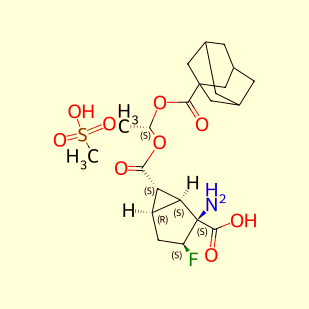 CS(=O)(=O)O.C[C@@H](OC(=O)[C@H]1[C@@H]2C[C@H](F)[C@@](N)(C(=O)O)[C@@H]21)OC(=O)C12CC3CC(CC(C3)C1)C2